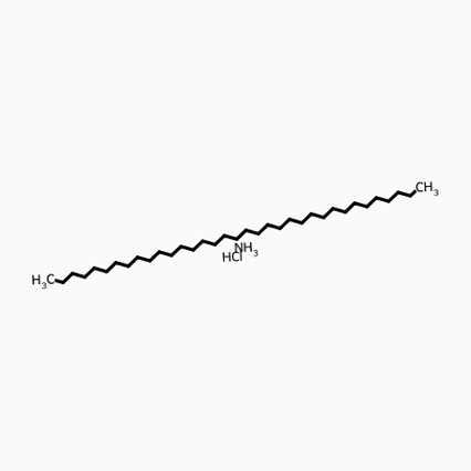 CCCCCCCCCCCCCCCCCCCCCCCCCCCCCCCCCCC.Cl.N